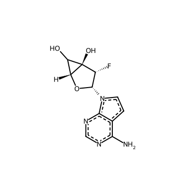 Nc1ncnc2c1ccn2[C@@H]1O[C@@H]2C(O)[C@]2(O)[C@@H]1F